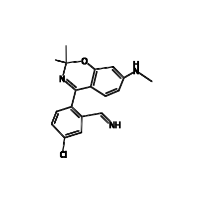 CNc1ccc2c(c1)OC(C)(C)N=C2c1ccc(Cl)cc1C=N